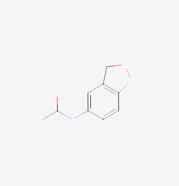 CC(O)Nc1ccc2c(c1)COO2